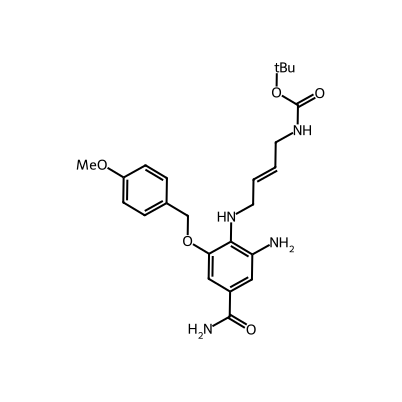 COc1ccc(COc2cc(C(N)=O)cc(N)c2NCC=CCNC(=O)OC(C)(C)C)cc1